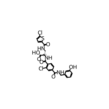 O=C(NCc1cccc(O)c1)c1ccc(C(=O)N[C@@H](CNC(=O)c2ccc(Cl)s2)C(=O)O)c(Cl)c1